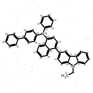 CCn1c2ccccc2c2cc(-c3ccc(N(c4ccccc4)c4ccc(-c5ccccc5)cc4)c4ccccc34)ccc21